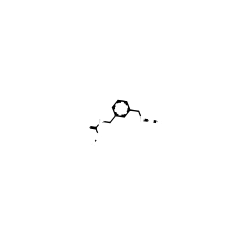 CCC(C)OC(=O)NCc1cccc(CN=C=O)c1